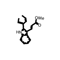 C/C=C\C(=C/C)c1[nH]c2ccccc2c1/C=C/C(=O)OC